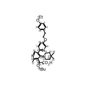 CCOc1ccc(CCOc2ccc(-c3cnc(C)c([C@H](OC(C)(C)C)C(=O)O)c3N3CCC(C)(C)CC3)nc2)cc1